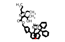 CCCc1nc(C(=O)OCc2ccc(-c3ccccc3-c3nnnn3C(c3ccccc3)(c3ccccc3)c3ccccc3)cc2)c(C(C)O)n1CC